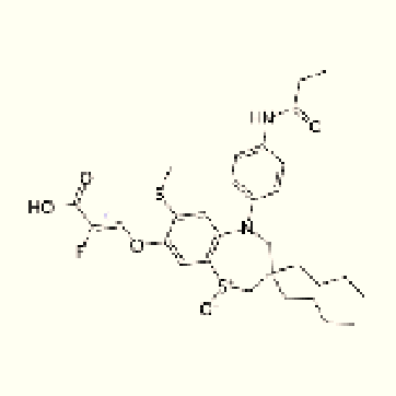 CCCCC1(CCCC)CN(c2ccc(NC(=O)CC)cc2)c2cc(SC)c(O/C=C(\F)C(=O)O)cc2[S+]([O-])C1